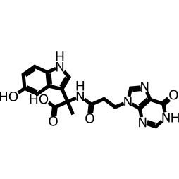 CC(NC(=O)CCn1cnc2c(=O)[nH]cnc21)(C(=O)O)c1c[nH]c2ccc(O)cc12